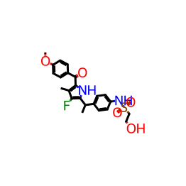 COc1ccc(C(=O)c2[nH]c(C(C)c3ccc(NS(=O)(=O)CCO)cc3)c(F)c2C)cc1